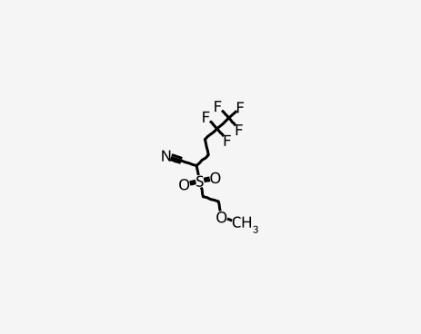 COCCS(=O)(=O)C(C#N)CCC(F)(F)C(F)(F)F